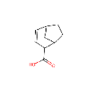 O=C(O)C1C=CC2CCC1C2